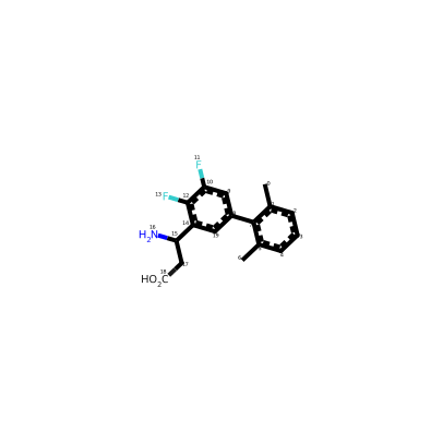 Cc1cccc(C)c1-c1cc(F)c(F)c(C(N)CC(=O)O)c1